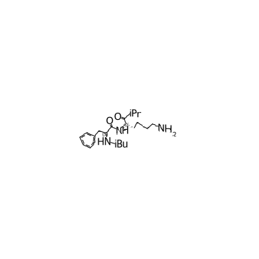 CCC(C)N[C@@H](Cc1ccccc1)C(=O)N[C@@H](CCCCN)C(=O)C(C)C